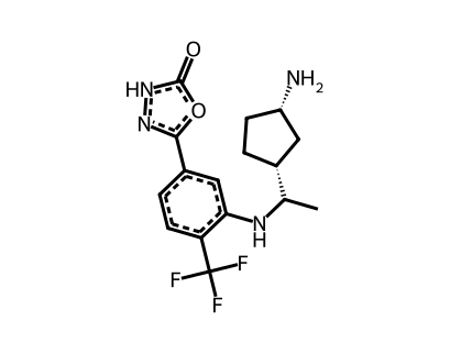 CC(Nc1cc(-c2n[nH]c(=O)o2)ccc1C(F)(F)F)[C@@H]1CC[C@H](N)C1